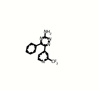 Nc1nnc(-c2ccnc(C(F)(F)F)c2)c(-c2ccccc2)n1